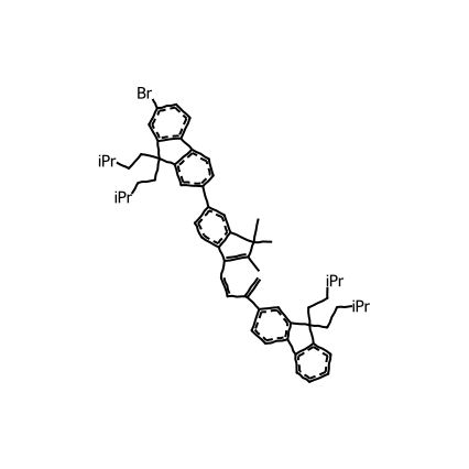 C=C(/C=C\C1=C(C)C(C)(C)c2cc(-c3ccc4c(c3)C(CCC(C)C)(CCC(C)C)c3cc(Br)ccc3-4)ccc21)c1ccc2c(c1)C(CCC(C)C)(CCC(C)C)c1ccccc1-2